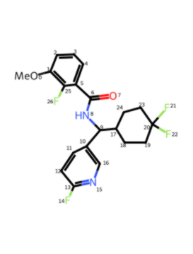 COc1cccc(C(=O)NC(c2ccc(F)nc2)C2CCC(F)(F)CC2)c1F